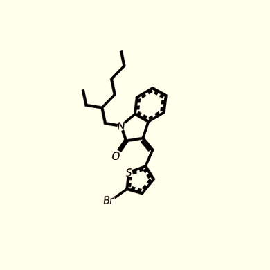 CCCCC(CC)CN1C(=O)C(=Cc2ccc(Br)s2)c2ccccc21